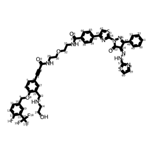 O=C(C#Cc1ccc(OCc2ccc(F)c(C(F)(F)F)c2)c(CNCCO)c1)NCCOCCNC(=O)c1ccc(-c2csc(N3N=C(c4ccccc4)C(=NNc4nccs4)C3=O)n2)cc1